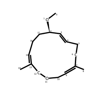 CO[C@H]1/C=C/CC/C(C)=C\COC/C(C)=C\CC1